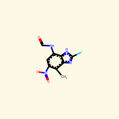 Cc1c([N+](=O)[O-])cc(NC=O)c2[nH]c(F)nc12